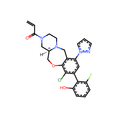 C=CC(=O)N1CCN2Cc3c(-n4cccn4)cc(-c4c(O)cccc4F)c(Cl)c3OC[C@H]2C1